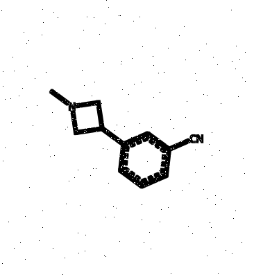 CN1CC(c2cccc(C#N)c2)C1